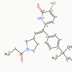 CCC(=O)N1CCC(/C=C(\c2ccc(C(C)(C)C)cc2)c2ccc(Cl)c(=O)[nH]2)C1